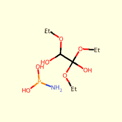 CCOC(O)C(O)(OCC)OCC.NP(O)O